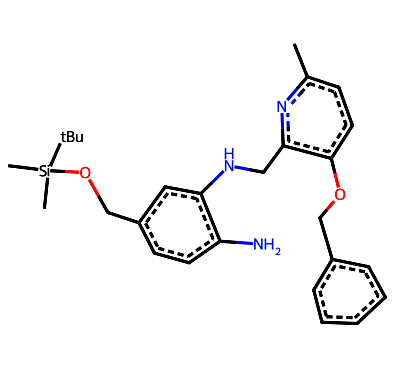 Cc1ccc(OCc2ccccc2)c(CNc2cc(CO[Si](C)(C)C(C)(C)C)ccc2N)n1